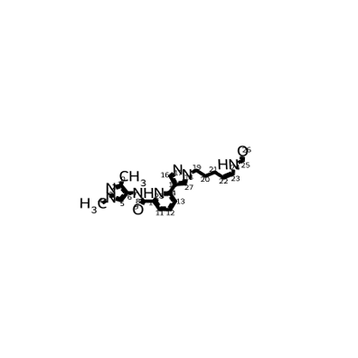 Cc1nn(C)cc1NC(=O)c1cccc(-c2cnn(CCC/C=C\NC=O)c2)n1